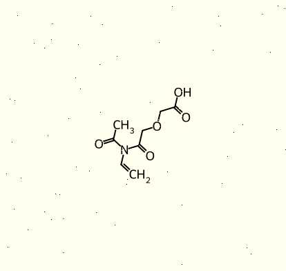 C=CN(C(C)=O)C(=O)COCC(=O)O